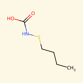 CCCCSNC(=O)O